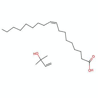 C=CC(C)(C)O.CCCCCCCC/C=C\CCCCCCCC(=O)O